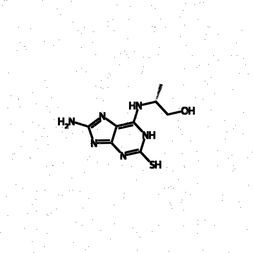 C[C@H](CO)Nc1[nH]c(S)nc2nc(N)nc1-2